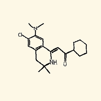 CN(C)c1cc2c(cc1Cl)CC(C)(C)NC2=CC(=O)C1CCCCC1